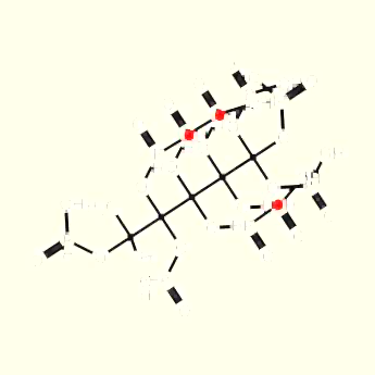 CC(C)C(C)(O[PH](=O)O)C(O[PH](=O)O)(O[PH](=O)O)C(O[PH](=O)O)(O[PH](=O)O)C(O[PH](=O)O)(O[PH](=O)O)C(O[PH](=O)O)(O[PH](=O)O)O[PH](=O)O